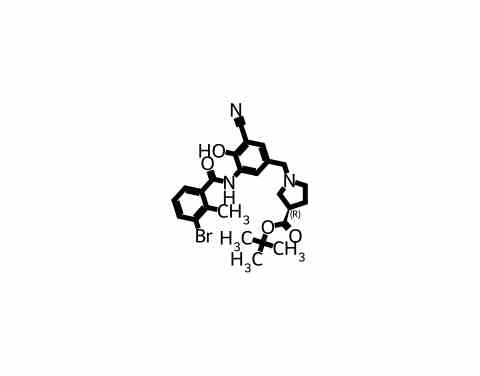 Cc1c(Br)cccc1C(=O)Nc1cc(CN2CC[C@@H](C(=O)OC(C)(C)C)C2)cc(C#N)c1O